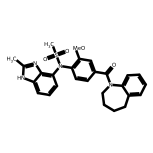 COc1cc(C(=O)N2CCCCc3ccccc32)ccc1N(c1cccc2[nH]c(C)nc12)S(C)(=O)=O